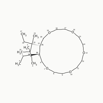 CCC(C)(C)[C@@H]1COCCOCCOCCOCCOC[C@H]1C(C)(CC)CC